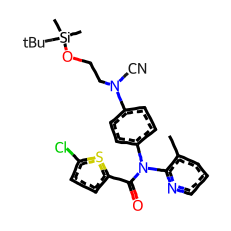 Cc1cccnc1N(C(=O)c1ccc(Cl)s1)c1ccc(N(C#N)CCO[Si](C)(C)C(C)(C)C)cc1